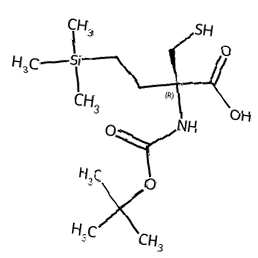 CC(C)(C)OC(=O)N[C@](CS)(CC[Si](C)(C)C)C(=O)O